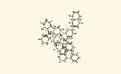 c1ccc(-c2cccc3c2oc2ccccc23)c(-c2ccc(N(c3ccc(-c4ccc5ccccc5c4)cc3)c3ccc(-c4ccccc4-n4c5ccccc5c5ccccc54)cc3)cc2)c1